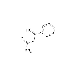 [CH]=C(CC(N)=O)c1ccccc1